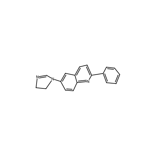 C1=NCCN1c1ccc2nc(-c3ccccc3)ccc2c1